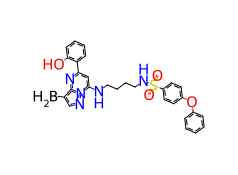 Bc1cnn2c(NCCCCNS(=O)(=O)c3ccc(Oc4ccccc4)cc3)cc(-c3ccccc3O)nc12